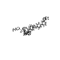 CCOc1cccc(-c2ccc(COc3ccc(C(CC(=O)O)C(=O)N(C)C)cc3)cc2)c1